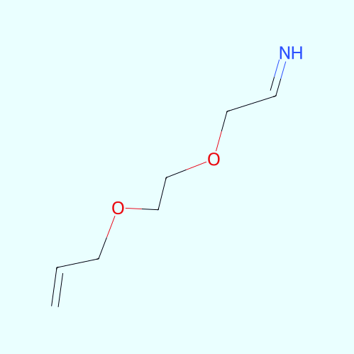 C=CCOCCOCC=N